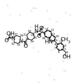 Cc1cc(CO)ccc1-c1cc2ccc(S(=O)(=O)N[C@H]3CC[C@H](C(=O)N4CCN(C(=O)O)CC4)CC3)cc2[nH]1